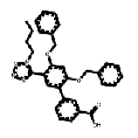 CCCCn1nnnc1-c1cc(-c2cccc(C(=O)O)c2)c(OCc2ccccc2)cc1OCc1ccccc1